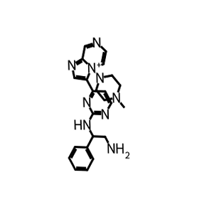 CN1CCN([N+]23C=CN=CC2=NC=C3c2ccnc(NC(CN)c3ccccc3)n2)CC1